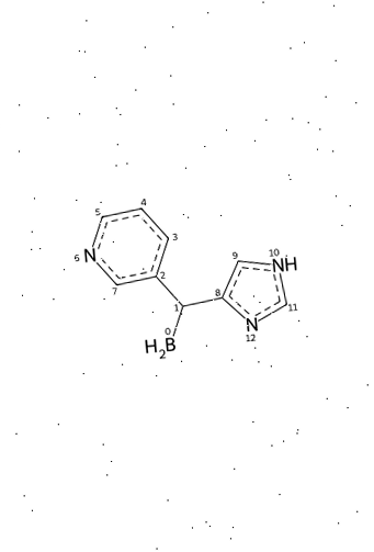 BC(c1cccnc1)c1c[nH]cn1